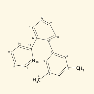 Cc1cc(C)cc(-c2ccccc2-c2ccccn2)c1